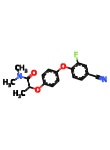 CC(Oc1ccc(Oc2ccc(C#N)cc2F)cc1)C(=O)N(C)C